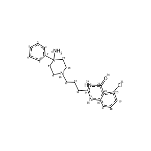 NC1(c2ccccc2)CCN(CCCc2nc3cccc(Cl)c3c(=O)[nH]2)CC1